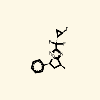 C[C@H]1C[C@@H](c2ccccc2)n2nc(C(F)(F)[C@@H]3C[C@H]3F)nc21